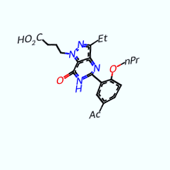 CCCOc1ccc(C(C)=O)cc1-c1nc2c(CC)nn(CCCC(=O)O)c2c(=O)[nH]1